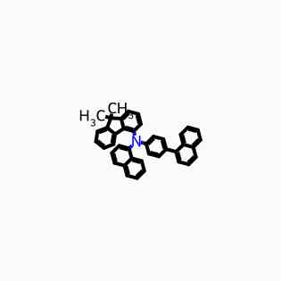 CC1(C)c2ccccc2-c2c(N(c3ccc(-c4cccc5ccccc45)cc3)c3cccc4ccccc34)cccc21